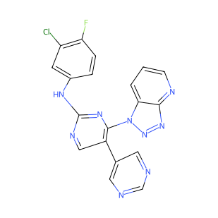 Fc1ccc(Nc2ncc(-c3cncnc3)c(-n3nnc4ncccc43)n2)cc1Cl